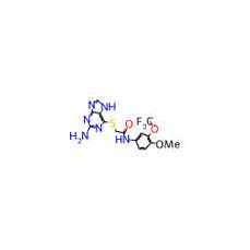 COc1ccc(NC(=O)CSc2nc(N)nc3nc[nH]c23)cc1OC(F)(F)F